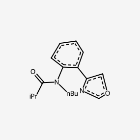 CCCCN(C(=O)C(C)C)c1ccccc1-c1cocn1